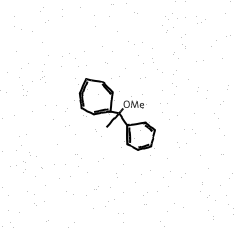 COC(C)(C1=CC=C=CC=C1)c1ccccc1